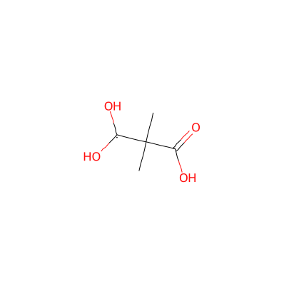 CC(C)([C](O)O)C(=O)O